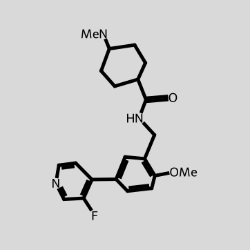 CNC1CCC(C(=O)NCc2cc(-c3ccncc3F)ccc2OC)CC1